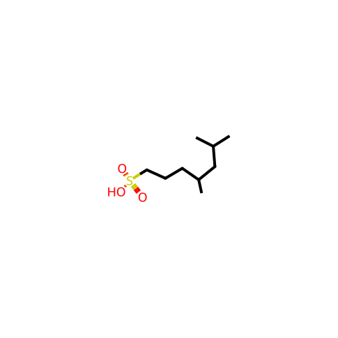 CC(C)CC(C)CCCS(=O)(=O)O